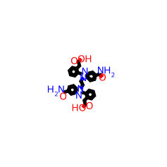 NC(=O)c1ccc2c(c1)nc(-c1ccccc1CC(=O)O)n2CCn1c(-c2ccccc2CC(=O)O)nc2cc(C(N)=O)ccc21